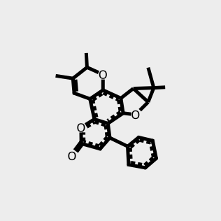 CC1=Cc2c(c3c(c4c(-c5ccccc5)cc(=O)oc24)OC2C3C2(C)C)OC1C